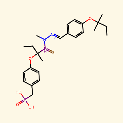 CCC(C)(C)Oc1ccc(/C=N/N(C)[PH](=S)C(C)(CC)Oc2ccc(CP(=O)(O)O)cc2)cc1